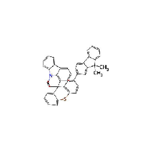 CC1(C)c2ccccc2-c2ccc(-c3ccc4c(c3)C3(c5ccccc5S4)c4ccccc4-n4c5ccccc5c5cccc3c54)cc21